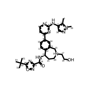 Cc1c(Nc2nccc(-c3ccc4c(c3)CN(CCO)CC[C@H]4NC(=O)c3noc(C(C)(C)C)n3)n2)cnn1C